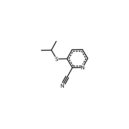 CC(C)Sc1cccnc1C#N